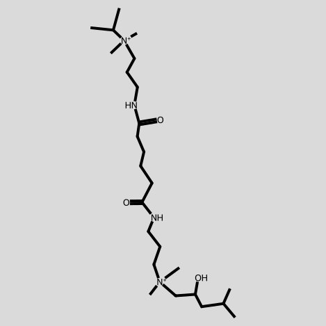 CC(C)CC(O)C[N+](C)(C)CCCNC(=O)CCCCC(=O)NCCC[N+](C)(C)C(C)C